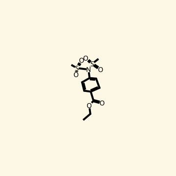 CCOC(=O)c1ccc(N(S(C)(=O)=O)S(C)(=O)=O)cc1